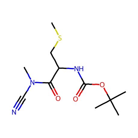 CSCC(NC(=O)OC(C)(C)C)C(=O)N(C)C#N